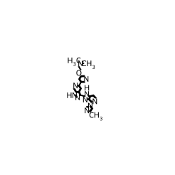 Cc1cn(-c2nccc3[nH]c(-c4n[nH]c5cnc(-c6cncc(OCCN(C)C)c6)cc45)nc23)cn1